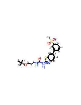 CC(C)(C)OCCCNC(=O)Nc1nc2ccc(-c3cccc(S(C)(=O)=O)c3)cc2s1